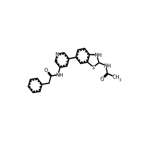 CC(=O)NC1Nc2ccc(-c3cncc(NC(=O)Cc4ccccc4)c3)cc2S1